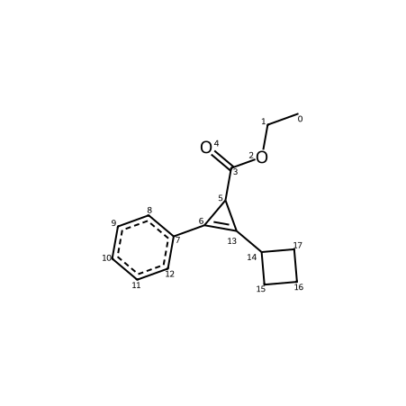 CCOC(=O)C1C(c2ccccc2)=C1C1CCC1